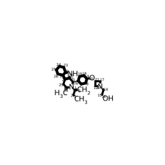 C=C(CC)N1[C@H](c2ccc(OC3CN(CCO)C3)cc2)c2[nH]c3ccccc3c2C[C@H]1C